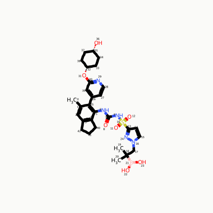 Cc1cc2c(c(NC(=O)NS(=O)(=O)c3ccn(CC(C)(C)B(O)O)n3)c1-c1ccnc(O[C@H]3CC[C@@H](O)CC3)c1)CCC2